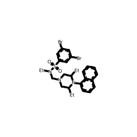 CCC1CN(CN(CC)S(=O)(=O)c2cc(Br)cc(Br)c2)CC(CC)N1c1cccc2ccccc12